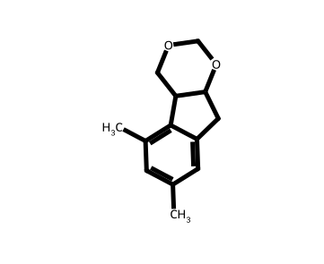 Cc1cc(C)c2c(c1)CC1OCOCC21